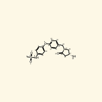 CS(=O)(=O)Nc1ccc(Oc2ccc(CN3C[C@H](S)CC3=O)cn2)cc1